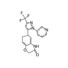 O=C1COC2=CCC(c3cc(C(F)(F)F)nn3-c3cccnc3)C=C2N1